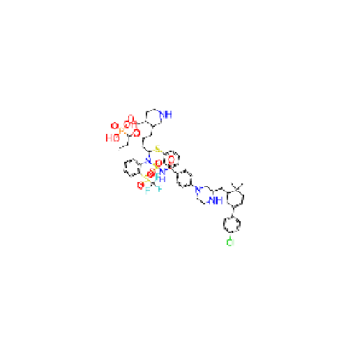 [CH2]C[C@H](OC(=O)C1CCNCC1CCCC(Sc1ccccc1)N(c1ccccc1S(=O)(=O)C(F)(F)F)S(=O)(=O)NC(=O)c1ccc(N2CCNC(CC3CC(c4ccc(Cl)cc4)=CCC3(C)C)C2)cc1)P(=O)(O)O